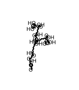 O=Cc1ccc(CNC(=O)CCC(=O)NCCCCCCC(=O)NC(CCC(=O)NCCCCC(C(=O)O)N(CC(=O)O)CC(=O)O)C(=O)NCCCCC(C(=O)O)N(CC(=O)O)CC(=O)O)cc1